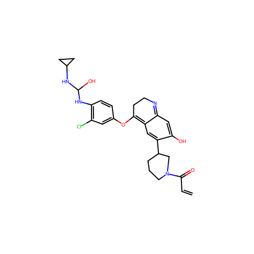 C=CC(=O)N1CCCC(c2cc3c(cc2O)=NCCC=3Oc2ccc(NC(O)NC3CC3)c(Cl)c2)C1